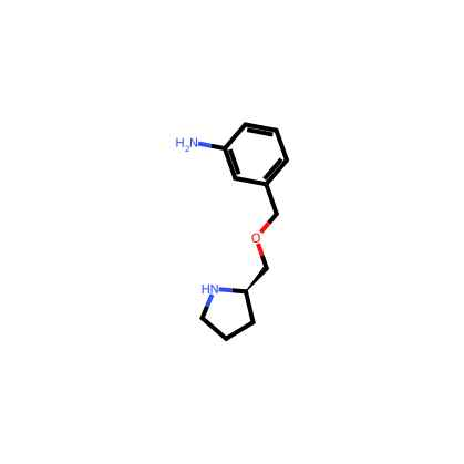 Nc1cccc(COC[C@H]2CCCN2)c1